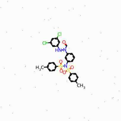 Cc1ccc(S(=O)(=O)N(c2cccc(N(C=O)Nc3cc(Cl)cc(Cl)c3)c2)S(=O)(=O)c2ccc(C)cc2)cc1